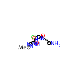 COc1ncc2cc(C(=O)Nc3cc(C(=O)NCCCc4cccc(N)c4)ccc3Cl)c(=O)[nH]c2n1